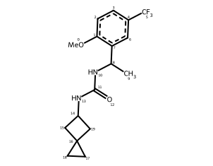 COc1ccc(C(F)(F)F)cc1C(C)NC(=O)NC1CC2(CC2)C1